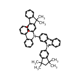 CC1(C)CC(C)(C)c2cc(-n3c4ccccc4c4ccc(N(c5ccc6c(c5)C(C)(C)c5ccccc5-6)c5ccccc5-c5ccccc5)cc43)ccc21